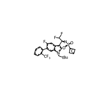 CC(C)(C)Cn1cc(/C(=N\S(=O)(=O)C23CC(C2)C3)C(F)F)c2cc(F)c(-c3ccccc3C(F)(F)F)cc21